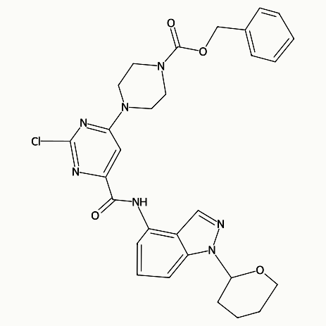 O=C(Nc1cccc2c1cnn2C1CCCCO1)c1cc(N2CCN(C(=O)OCc3ccccc3)CC2)nc(Cl)n1